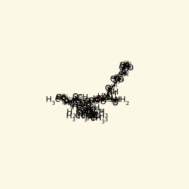 CC[C@H](C)C([C@@H](CC(=O)N1C[C@@H](OC(=O)OCc2ccc(NC(=O)[C@H](CCCNC(N)=O)NC(=O)CNC(=O)CCCCCN3C(=O)CC(SCC4(CC(=O)ON5C(=O)CCC5=O)CC4)C3=O)cc2)C[C@H]1[C@H](OC)[C@@H](C)C(=O)NCC(=O)c1ccc2cc(OC)ccc2c1)OC)N(C)C(=O)[C@@H](NC(=O)[C@H](C(C)C)N(C)C)C(C)C